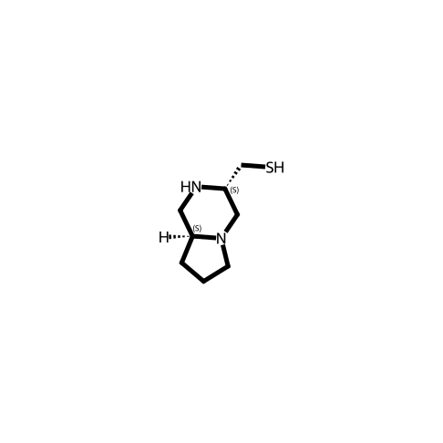 SC[C@@H]1CN2CCC[C@H]2CN1